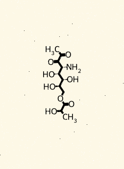 CC(=O)C(=O)[C@H](N)[C@@H](O)[C@H](O)[C@H](O)COC(=O)C(C)O